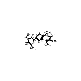 CC1C(=O)N(C)c2ccc(C3=NN(C)C(=O)C4CCCC34)cc2C1C